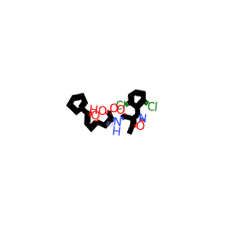 Cc1onc(-c2c(Cl)cccc2Cl)c1C(=O)N/C(=C/c1ccc(-c2ccccc2)o1)C(=O)O